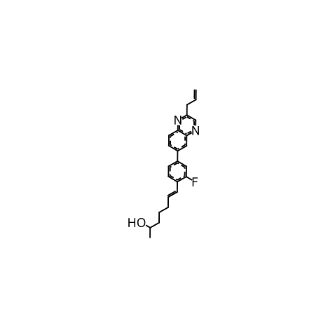 C=CCc1cnc2cc(-c3ccc(C=CCCCC(C)O)c(F)c3)ccc2n1